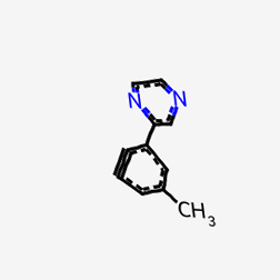 Cc1cc#cc(-c2cnccn2)c1